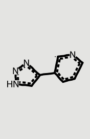 [c]1ncccc1-c1c[nH]nn1